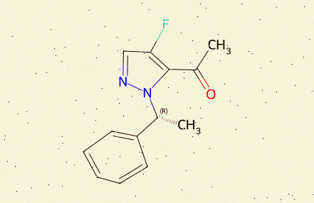 CC(=O)c1c(F)cnn1[C@H](C)c1ccccc1